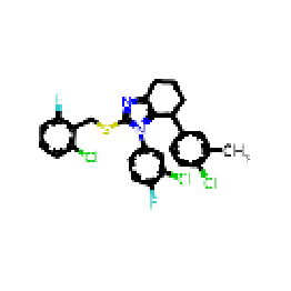 Cc1cc(C2CCCc3nc(SCc4c(F)cccc4Cl)n(-c4ccc(F)c(Cl)c4)c32)ccc1Cl